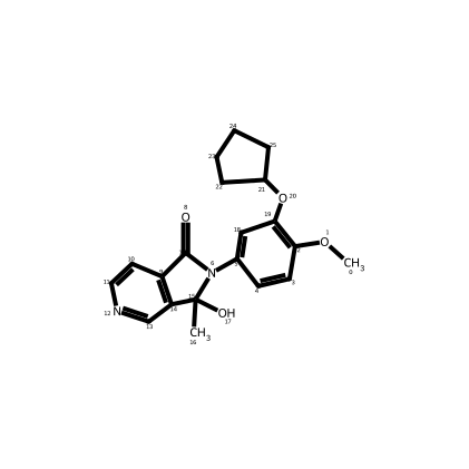 COc1ccc(N2C(=O)c3ccncc3C2(C)O)cc1OC1CCCC1